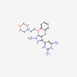 Cn1cc(Cc2ccccc2OCCN2CCOCC2)c(-c2cc(N)nc(N)n2)n1